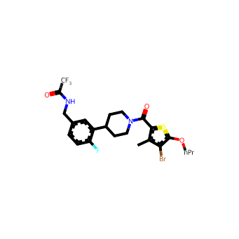 CCCOc1sc(C(=O)N2CCC(c3cc(CNC(=O)C(F)(F)F)ccc3F)CC2)c(C)c1Br